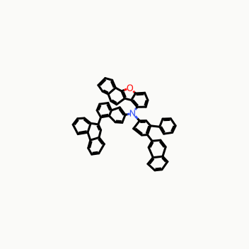 c1ccc(-c2cc(N(c3ccc4c(-c5cc6ccccc6c6ccccc56)cccc4c3)c3cccc4oc5c6ccccc6ccc5c34)ccc2-c2ccc3ccccc3c2)cc1